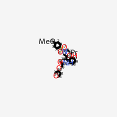 COc1ccc(S(=O)(=O)N(CC(C)C)C[C@@H](O)[C@@](C)(NC(=O)COC2CCOC2)c2ccccc2)cc1